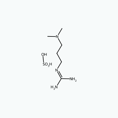 CN(C)CCCN=C(N)N.O=S(=O)(O)O